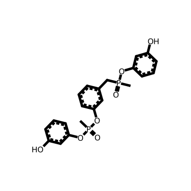 CP(=O)(Cc1cccc(OP(C)(=O)Oc2cccc(O)c2)c1)Oc1cccc(O)c1